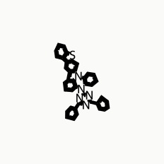 c1ccc(-c2nc(-c3ccccc3)nc(N3c4ccccc4-n4c5cc6sc7ccccc7c6cc5c5cccc3c54)n2)cc1